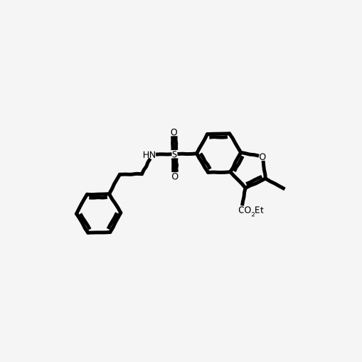 CCOC(=O)c1c(C)oc2ccc(S(=O)(=O)NCCc3ccccc3)cc12